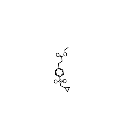 CCOC(=O)CCc1ccc(S(=O)(=O)CC2CC2)cc1